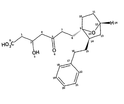 O=C(O)CC(O)CC(=O)CC[C@@]12CC[C@H](C[C@H]1CCc1ccccc1)O2